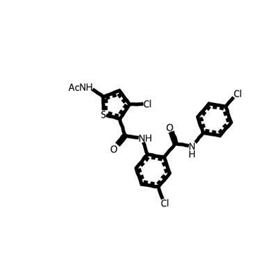 CC(=O)Nc1cc(Cl)c(C(=O)Nc2ccc(Cl)cc2C(=O)Nc2ccc(Cl)cc2)s1